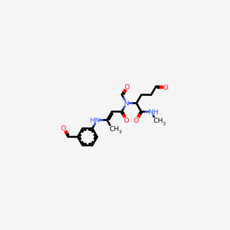 CNC(=O)C(CCC=O)N(C=O)C(=O)/C=C(\C)Nc1cccc(C=O)c1